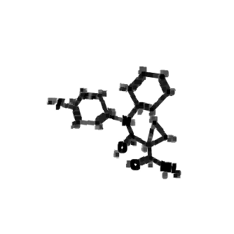 NC(=O)C1(C(=O)N(c2ccccc2)c2ccc(F)cc2)CC1